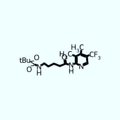 Cc1c(C(F)(F)F)cnc(NC(=O)CCCCNS(=O)(=O)C(C)(C)C)c1C